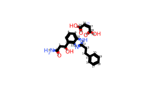 NC(=O)CC(O)c1cccc2[nH]c(CCc3ccccc3)nc12.O=C(O)/C=C\C(=O)O